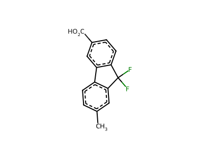 Cc1ccc2c(c1)C(F)(F)c1ccc(C(=O)O)cc1-2